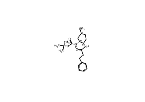 CC(C)(C)OC(=O)N[C@@H]1C[C@@H](N)CC[C@@H]1NC(=O)OCc1ccccc1